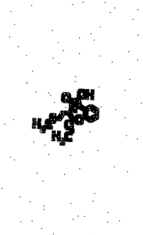 CCOC(=O)C(CCSC)N1C(=O)C(O)C1c1ccccc1